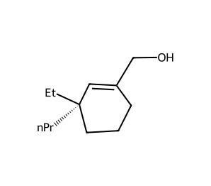 CCC[C@]1(CC)C=C(CO)CCC1